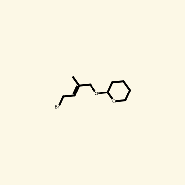 CC(=CCBr)COC1CCCCO1